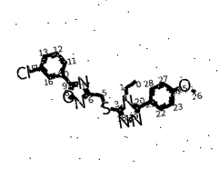 CCn1c(SCc2noc(-c3cccc(Cl)c3)n2)nnc1-c1ccc(OC)cc1